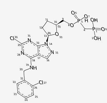 O=P(O)(O)CP(=O)(O)OC[C@@H]1CC[C@H](n2ncc3c(NCc4ccccc4Cl)nc(Cl)nc32)O1